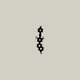 Cc1ccc(C#Cc2c(F)cc(C3CCC4CC(C)CCC4C3)cc2F)cc1